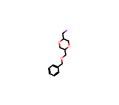 ICC1COC(COCc2ccccc2)CO1